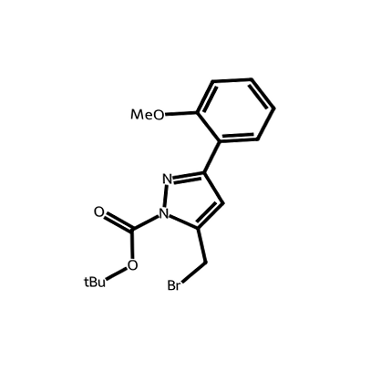 COc1ccccc1-c1cc(CBr)n(C(=O)OC(C)(C)C)n1